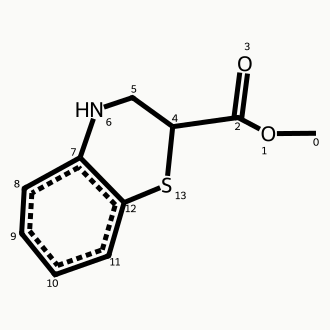 COC(=O)C1CNc2ccccc2S1